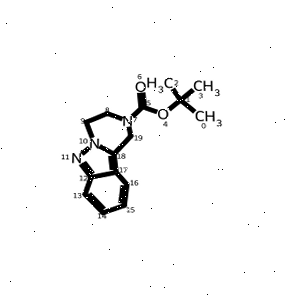 CC(C)(C)OC(=O)N1CCn2nc3ccccc3c2C1